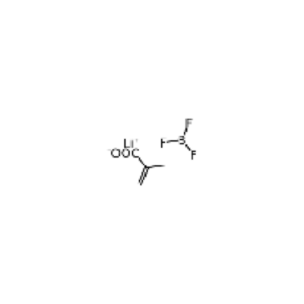 C=C(C)C(=O)[O-].FB(F)F.[Li+]